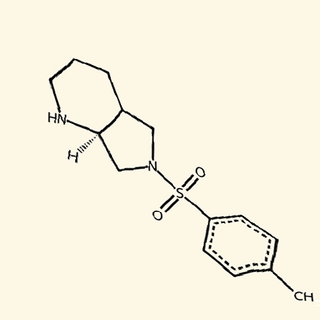 Cc1ccc(S(=O)(=O)N2CC3CCCN[C@@H]3C2)cc1